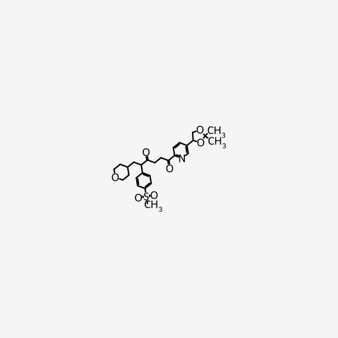 CC1(C)OCC(c2ccc(C(=O)CCC(=O)C(CC3CCOCC3)c3ccc(S(C)(=O)=O)cc3)nc2)O1